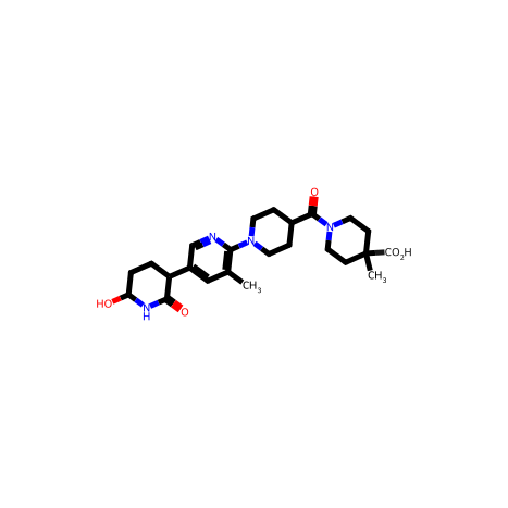 Cc1cc(C2CCC(O)NC2=O)cnc1N1CCC(C(=O)N2CCC(C)(C(=O)O)CC2)CC1